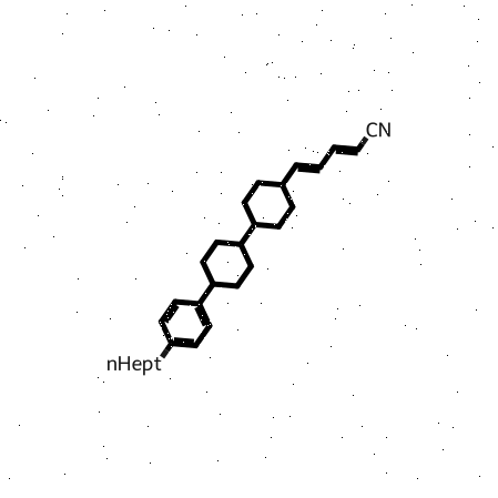 CCCCCCCc1ccc(C2CCC(C3CCC(C=CC=CC#N)CC3)CC2)cc1